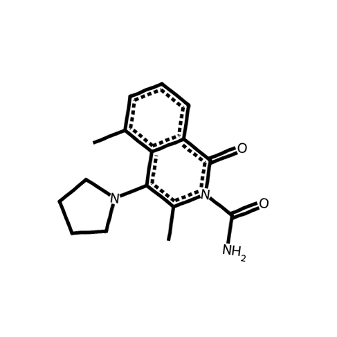 Cc1cccc2c(=O)n(C(N)=O)c(C)c(N3CCCC3)c12